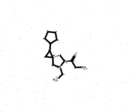 CCC(=O)[C@@H]1C[C@@]2(CC2C2CCCC2)CN1CC